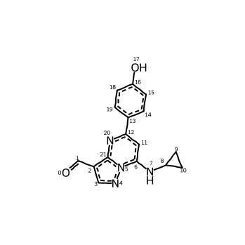 O=Cc1cnn2c(NC3CC3)cc(-c3ccc(O)cc3)nc12